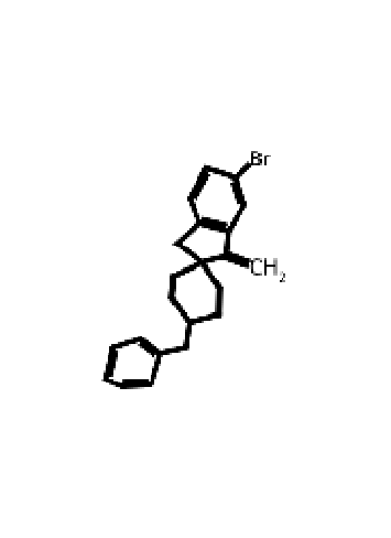 C=C1c2cc(Br)ccc2CC12CCC(Cc1ccccc1)CC2